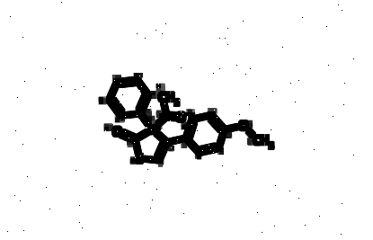 COc1ccc(C2=CSC(=O)[N+]2(C(C)=O)c2ccccc2)cc1